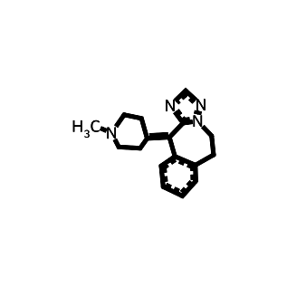 CN1CCC(=C2c3ccccc3CCn3ncnc32)CC1